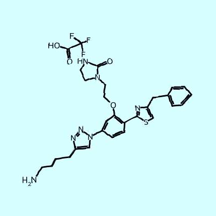 NCCCCc1cn(-c2ccc(-c3nc(Cc4ccccc4)cs3)c(OCCN3CCNC3=O)c2)nn1.O=C(O)C(F)(F)F